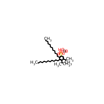 CCCCCCCCCCCCc1c(S(=O)(=O)[O][Ti](=[O])[OH])cc(C(C)C)c(C(C)C)c1CCCCCCCCCCCC